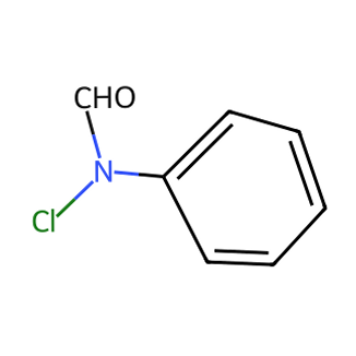 O=CN(Cl)c1ccccc1